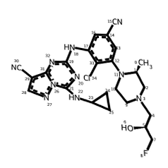 C[C@H]1CN(C[C@H](O)CF)CCN1c1cc(C#N)cc(Nc2nc(NC3CC3)n3ncc(C#N)c3n2)c1Cl